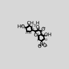 Cc1cc(-c2oc3cc([N+](=O)[O-])cc(O)c3c(=O)c2O)ccc1O